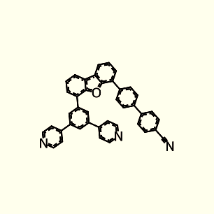 N#Cc1ccc(-c2ccc(-c3cccc4c3oc3c(-c5cc(-c6ccncc6)cc(-c6ccncc6)c5)cccc34)cc2)cc1